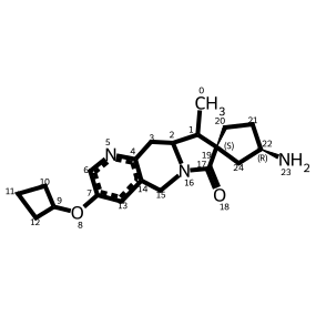 CC1C2Cc3ncc(OC4CCC4)cc3CN2C(=O)[C@]12CC[C@@H](N)C2